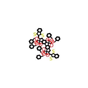 O=C(OCc1ccccc1)C1(C(=O)OCc2ccccc2)C(C=C2C(=S)c3ccccc3C2=S)=Cc2cc3c(cc21)-c1cc2c(cc1C3(C(=O)OCc1ccccc1)C(=O)OCc1ccccc1)C=C(C=C1C(=S)c3ccccc3C1=S)C2(C(=O)OCc1ccccc1)C(=O)OCc1ccccc1